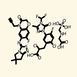 C#CCN1C(=O)COc2cc(F)c(/N=c3\snc4n3CC(C)(C)C4)cc21.Cc1nn(-c2cc(CC(Cl)C(=O)O)c(Cl)cc2F)c(=O)n1C(F)F.O=C(O)CNCP(=O)(O)O